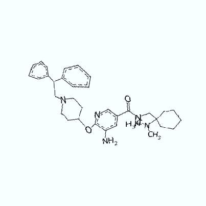 CN(C)C1(CNC(=O)c2cnc(OC3CCN(CC(c4ccccc4)c4ccccc4)CC3)c(N)c2)CCCCC1